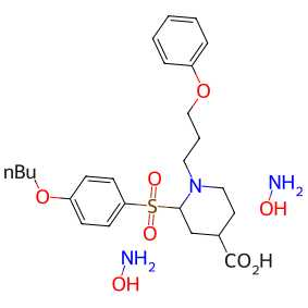 CCCCOc1ccc(S(=O)(=O)C2CC(C(=O)O)CCN2CCCOc2ccccc2)cc1.NO.NO